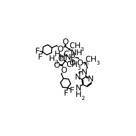 C[C@H](Cn1cnc2c(N)ccnc21)OCP(=O)(NC(C)(C)C(=O)OCC1CCC(F)(F)CC1)NC(C)(C)C(=O)OCC1CCC(F)(F)CC1